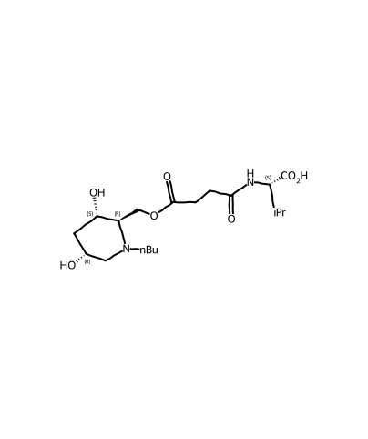 CCCCN1C[C@H](O)C[C@H](O)[C@H]1COC(=O)CCC(=O)N[C@H](C(=O)O)C(C)C